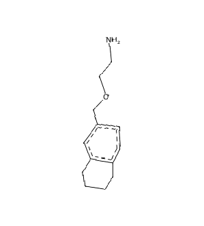 NCCOCc1ccc2c(c1)CCCC2